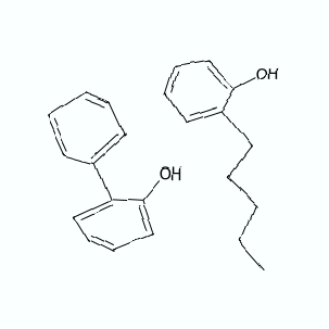 CCCCCc1ccccc1O.Oc1ccccc1-c1ccccc1